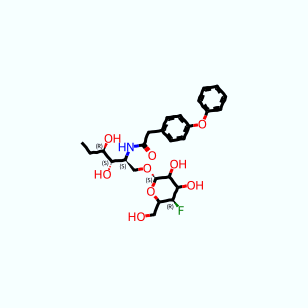 CC[C@@H](O)[C@@H](O)[C@H](CO[C@H]1OC(CO)[C@H](F)C(O)C1O)NC(=O)Cc1ccc(Oc2ccccc2)cc1